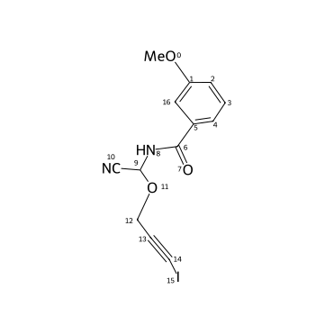 COc1cccc(C(=O)NC(C#N)OCC#CI)c1